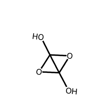 OC12OC1(O)O2